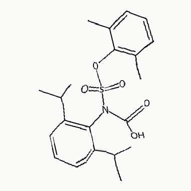 Cc1cccc(C)c1OS(=O)(=O)N(C(=O)O)c1c(C(C)C)cccc1C(C)C